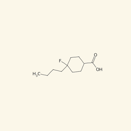 CCCCC1(F)CCC(C(=O)O)CC1